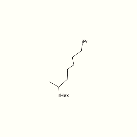 [CH2]C(C)CCCCCC(C)CCCCCC